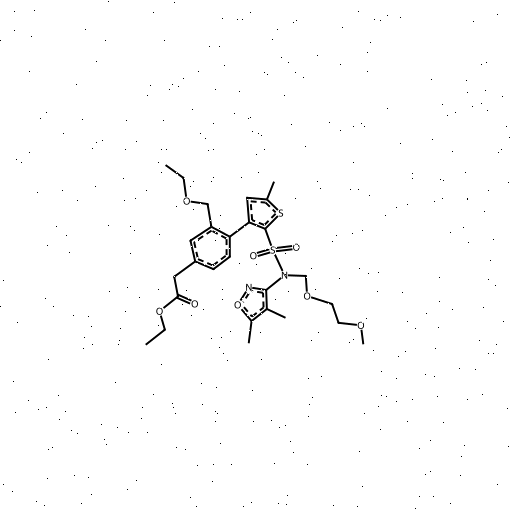 CCOCc1cc(CC(=O)OCC)ccc1-c1cc(C)sc1S(=O)(=O)N(COCCOC)c1noc(C)c1C